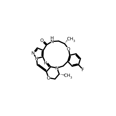 C[C@@H]1COc2cn3ncc4c3nc2N1Cc1cc(F)ccc1O[C@@H](C)CNC4=O